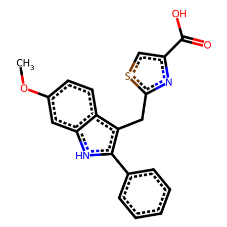 COc1ccc2c(Cc3nc(C(=O)O)cs3)c(-c3ccccc3)[nH]c2c1